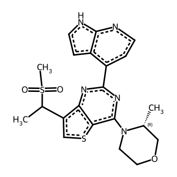 CC(c1csc2c(N3CCOC[C@H]3C)nc(-c3ccnc4[nH]ccc34)nc12)S(C)(=O)=O